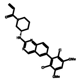 C=CC(=O)N1CCC[C@H](Nc2ncc3cc(-c4c(Cl)c(OC)cc(OC)c4Cl)ccc3n2)C1